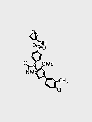 CNC(=O)N(c1ccc(S(=O)(=O)Nc2ccon2)cc1)c1ccc(-c2ccc(Cl)c(C)c2)cc1OC